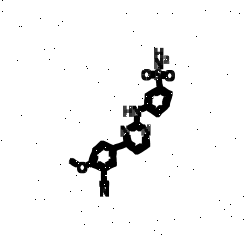 COc1ccc(-c2ccnc(Nc3cccc(S(N)(=O)=O)c3)n2)cc1C#N